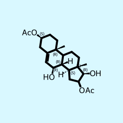 CC(=O)OC1C[C@H]2[C@H]3C(CC[C@]2(C)[C@H]1O)[C@@]1(C)CC[C@H](OC(C)=O)CC1=C[C@@H]3O